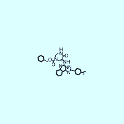 O=C1NCCN(C(=O)OCc2ccccc2)C[C@H]1Nc1nc2ccccc2c2nc(-c3ccc(F)cc3)nn12